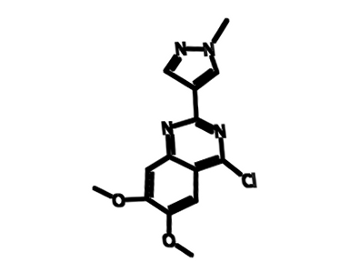 COc1cc2nc(-c3cnn(C)c3)nc(Cl)c2cc1OC